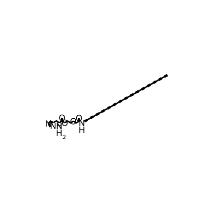 C#CC#CC#CC#CC#CC#CC#CC#CC#CC#CC#CC#CC#CC#CC#CNC(=O)COCCOC(=O)C(N)Cc1cnc[nH]1